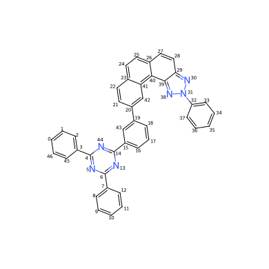 c1ccc(-c2nc(-c3ccccc3)nc(-c3cccc(-c4ccc5ccc6ccc7nn(-c8ccccc8)nc7c6c5c4)c3)n2)cc1